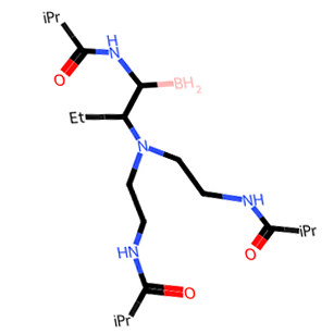 BC(NC(=O)C(C)C)C(CC)N(CCNC(=O)C(C)C)CCNC(=O)C(C)C